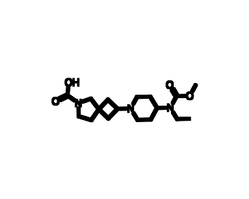 CCN(C(=O)OC)C1CCN(C2CC3(CCN(C(=O)O)C3)C2)CC1